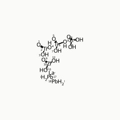 [La].[O]=[Ti]([OH])[OH].[O]=[Ti]([OH])[OH].[O]=[Zr]([OH])[OH].[O]=[Zr]([OH])[OH].[PbH2].[PbH2]